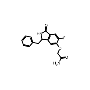 NC(=O)COc1cc2c(cc1F)C(=O)NC2Cc1ccccc1